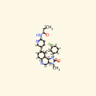 C=CC(=O)Nc1ccc(-c2ccc3ncc4c(c3c2)n(-c2cccc(F)c2C)c(=O)n4C)cn1